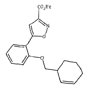 CCOC(=O)c1cc(-c2ccccc2OCC2C=CCCC2)on1